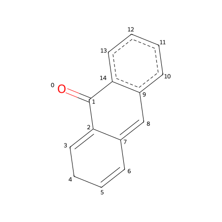 O=C1C2=CCC=CC2=Cc2ccccc21